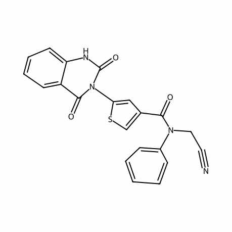 N#CCN(C(=O)c1csc(-n2c(=O)[nH]c3ccccc3c2=O)c1)c1ccccc1